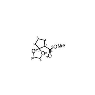 COC(=O)C1CCCC12OCCO2